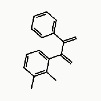 C=C(C(=C)c1cccc(C)c1C)c1ccccc1